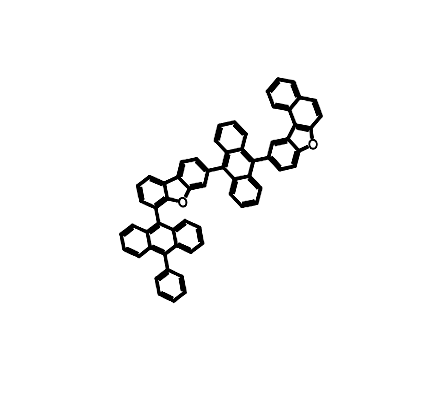 c1ccc(-c2c3ccccc3c(-c3cccc4c3oc3cc(-c5c6ccccc6c(-c6ccc7oc8ccc9ccccc9c8c7c6)c6ccccc56)ccc34)c3ccccc23)cc1